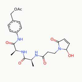 CC(=O)OCc1ccc(NC(=O)[C@H](C)NC(=O)[C@H](C)NC(=O)CCN2C(=O)C=CC2O)cc1